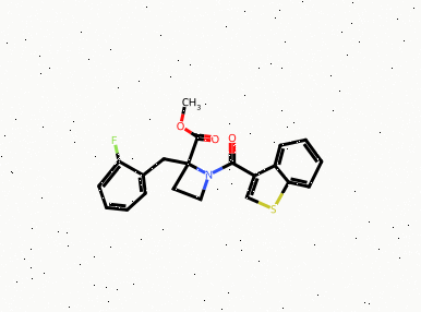 COC(=O)C1(Cc2ccccc2F)CCN1C(=O)c1csc2ccccc12